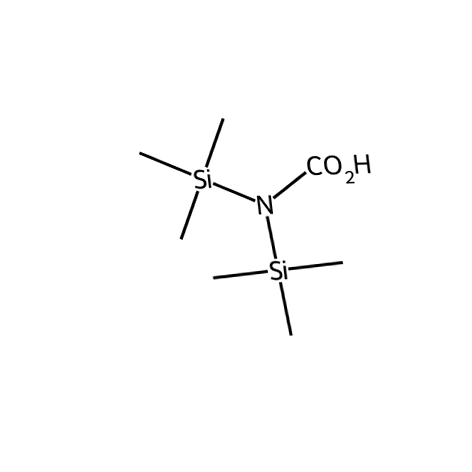 C[Si](C)(C)N(C(=O)O)[Si](C)(C)C